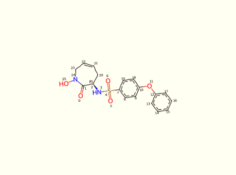 O=C1[C@H](NS(=O)(=O)c2ccc(Oc3ccccc3)cc2)CC=CCN1O